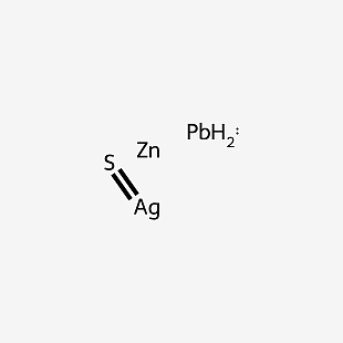 [PbH2].[S]=[Ag].[Zn]